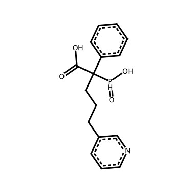 O=C(O)C(CCCc1cccnc1)(c1ccccc1)[PH](=O)O